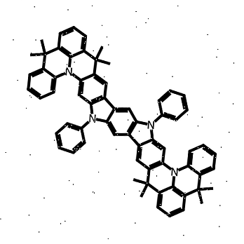 CC1(C)c2ccccc2N2c3cc4c(cc3C(C)(C)c3cccc1c32)c1cc2c(cc1n4-c1ccccc1)c1cc3c(cc1n2-c1ccccc1)N1c2ccccc2C(C)(C)c2cccc(c21)C3(C)C